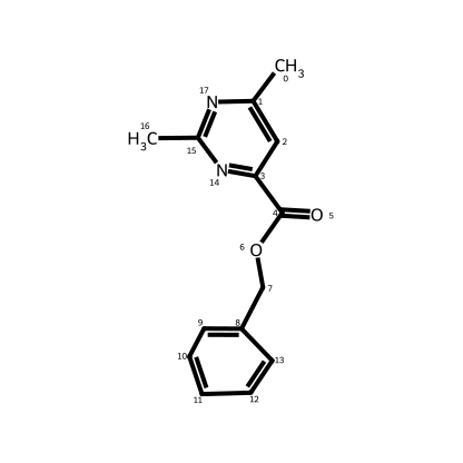 Cc1cc(C(=O)OCc2ccccc2)nc(C)n1